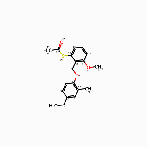 CCc1ccc(OCc2c(OC)cccc2SC(C)=O)c(C)c1